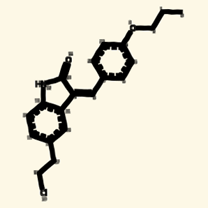 CCCOc1ccc(C=C2C(=O)Nc3ccc(CCCl)cc32)cc1